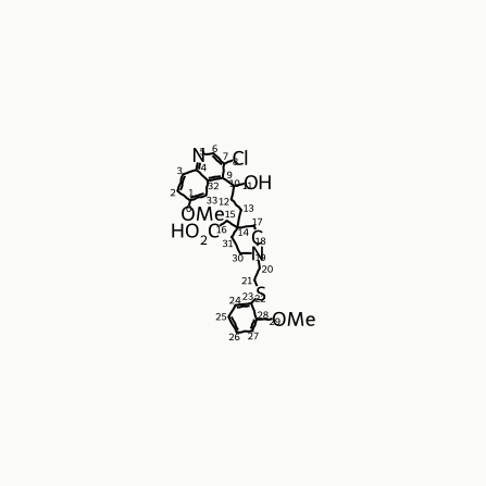 COc1ccc2ncc(Cl)c(C(O)CCC3(CC(=O)O)CCN(CCSc4ccccc4OC)CC3)c2c1